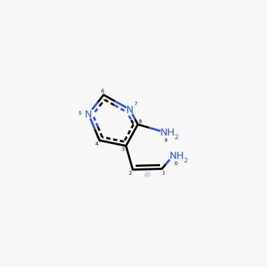 N/C=C\c1cncnc1N